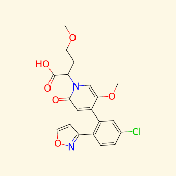 COCCC(C(=O)O)n1cc(OC)c(-c2cc(Cl)ccc2-c2ccon2)cc1=O